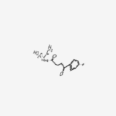 C[C@H](NC(=O)CCC(=O)c1ccc(F)cc1)C(=O)O